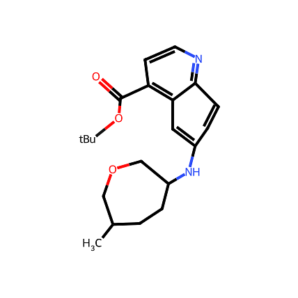 CC1CCC(Nc2ccc3nccc(C(=O)OC(C)(C)C)c3c2)COC1